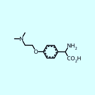 CN(C)CCOc1ccc(C(N)C(=O)O)cc1